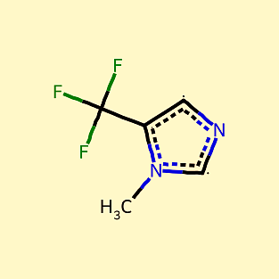 Cn1[c]n[c]c1C(F)(F)F